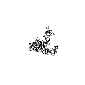 C[C@@H]1CC(CC(=O)C[C@H](C(=O)N2C[C@@]3(CC(c4cccc(Cl)c4)=NO3)C[C@H]2C(=O)N[C@@H](CC2CC2)C(=O)C(N)=O)C(C)(C)C)C[C@H](C)O1